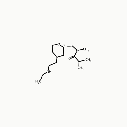 CCNCCN1CCO[C@H](CN(C)C(=O)C(C)C)C1